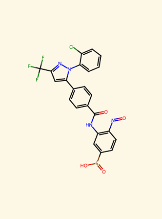 O=Nc1ccc(S(=O)O)cc1NC(=O)c1ccc(-c2cc(C(F)(F)F)nn2-c2ccccc2Cl)cc1